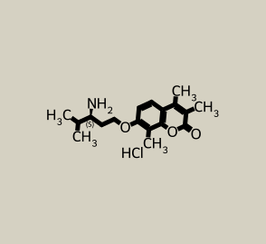 Cc1c(C)c2ccc(OCC[C@H](N)C(C)C)c(C)c2oc1=O.Cl